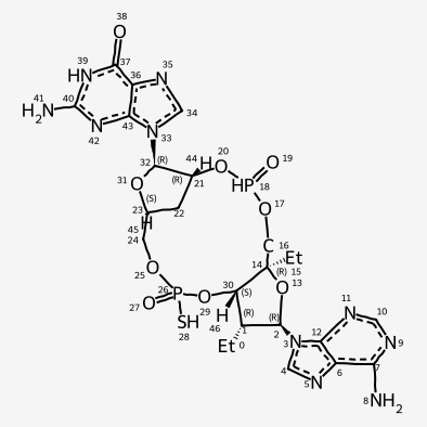 CC[C@H]1[C@H](n2cnc3c(N)ncnc32)O[C@]2(CC)CO[PH](=O)O[C@@H]3C[C@@H](COP(=O)(S)O[C@@H]12)O[C@H]3n1cnc2c(=O)[nH]c(N)nc21